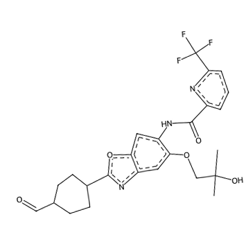 CC(C)(O)COc1cc2nc(C3CCC(C=O)CC3)oc2cc1NC(=O)c1cccc(C(F)(F)F)n1